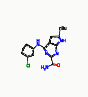 CCCCc1cc2c(Nc3cccc(Cl)c3)nc(C(N)=O)nc2[nH]1